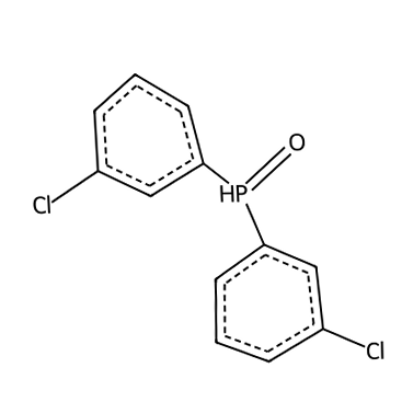 O=[PH](c1cccc(Cl)c1)c1cccc(Cl)c1